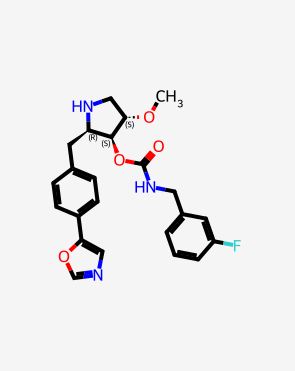 CO[C@H]1CN[C@H](Cc2ccc(-c3cnco3)cc2)[C@@H]1OC(=O)NCc1cccc(F)c1